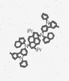 Cc1ccc2c(c1)c1cc(N(c3cccc4c3CCCC4)c3cc(C(C)C)c4ccc5c(N(c6ccc7c(c6)c6cc(C)ccc6n7-c6ccccc6)c6cccc7c6CCCC7)cc(C(C)C)c6ccc3c4c65)ccc1n2-c1ccccc1